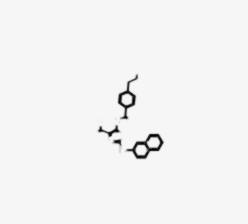 NC(=O)c1nc(Nc2ccc3ccccc3c2)sc1NC(=O)c1ccc(CCCl)cc1